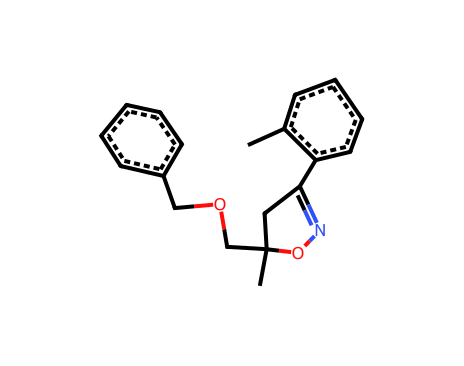 Cc1ccccc1C1=NOC(C)(COCc2ccccc2)C1